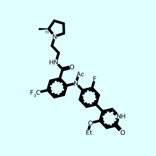 CCOc1cc(=O)[nH]cc1-c1ccc(N(C(C)=O)c2ccc(C(F)(F)F)cc2C(=O)NCCN2CCC[C@@H]2C)c(F)c1